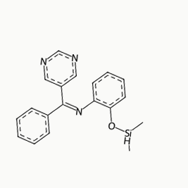 C[SiH](C)Oc1ccccc1N=C(c1ccccc1)c1cncnc1